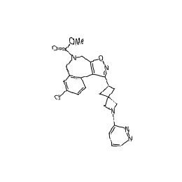 COC(=O)N1Cc2cc(Cl)ccc2-c2c(C3CC4(C3)CN(c3cccnn3)C4)noc2C1